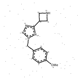 COc1ccc(Cn2nnc(C3CNC3)n2)cc1